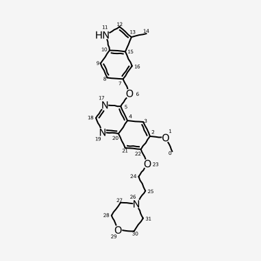 COc1cc2c(Oc3ccc4[nH]cc(C)c4c3)ncnc2cc1OCCN1CCOCC1